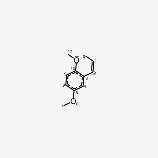 C/C=C\c1cc(OC)ccc1OC